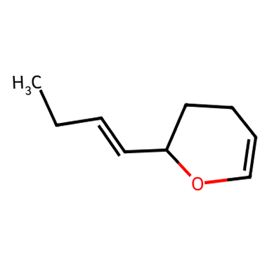 CC/C=C/C1CCC=CO1